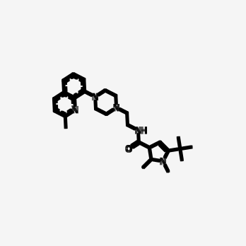 Cc1ccc2cccc(N3CCN(CCNC(=O)C4C=C(C(C)(C)C)N(C)C4C)CC3)c2n1